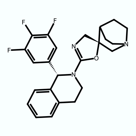 Fc1cc([C@H]2c3ccccc3CCN2C2=NC[C@@]3(CN4CCC3CC4)O2)cc(F)c1F